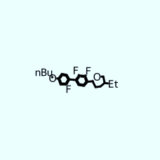 CCCCOc1ccc(-c2ccc(C3CCC(CC)CO3)c(F)c2F)c(F)c1